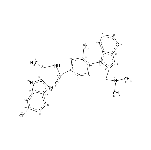 C[C@H](NC(=O)c1ccc(-n2c(CN(C)C)cc3ccccc32)c(C(F)(F)F)c1)c1nc2cc(Cl)ccc2[nH]1